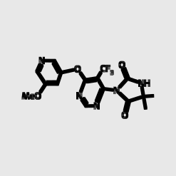 COc1cncc(Oc2ncnc(N3C(=O)NC(C)(C)C3=O)c2C(F)(F)F)c1